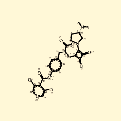 CN(C)[C@H]1CCN(c2c(N[C@@H](Cc3ccc(NC(=O)c4c(Cl)cncc4Cl)cc3)C(=O)O)c(=O)c2=O)C1